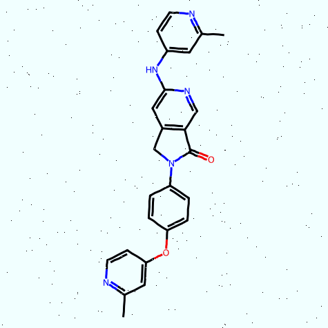 Cc1cc(Nc2cc3c(cn2)C(=O)N(c2ccc(Oc4ccnc(C)c4)cc2)C3)ccn1